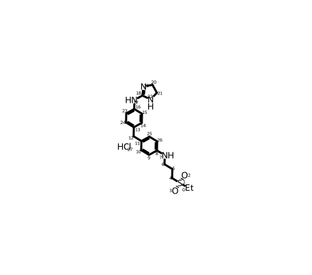 CCS(=O)(=O)CCCNc1ccc(Cc2ccc(NC3=NCCN3)cc2)cc1.Cl